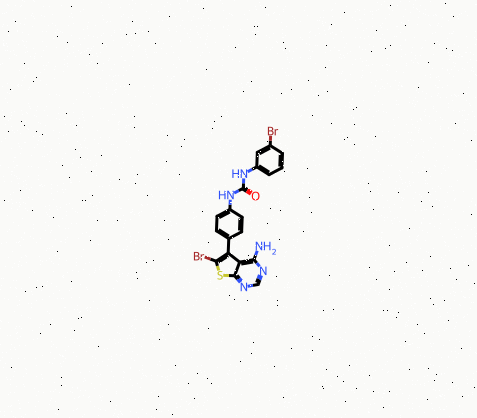 Nc1ncnc2sc(Br)c(-c3ccc(NC(=O)Nc4cccc(Br)c4)cc3)c12